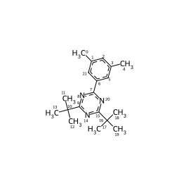 Cc1cc(C)cc(-c2nc(C(C)(C)C)nc(C(C)(C)C)n2)c1